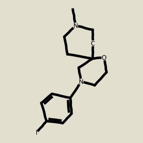 CN1CCC2(CC1)CN(c1ccc(I)cc1)CCO2